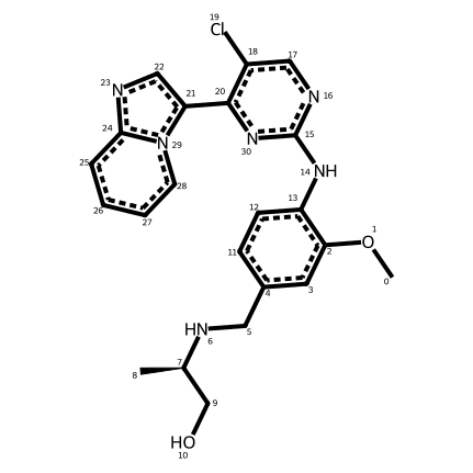 COc1cc(CN[C@H](C)CO)ccc1Nc1ncc(Cl)c(-c2cnc3ccccn23)n1